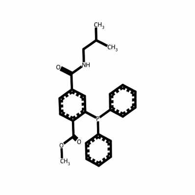 COC(=O)c1ccc(C(=O)NCC(C)C)cc1P(c1ccccc1)c1ccccc1